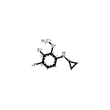 COc1c(NC2CC2)ccc(F)c1F